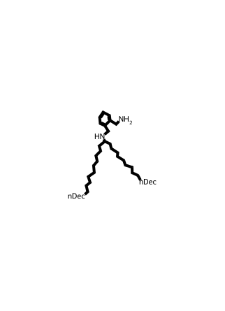 CCCCCCCCCCCCCCCCCCCCC(CCCCCCCCCCCCCCCCCCC)NCc1ccccc1CN